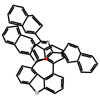 c1ccc2cc(-c3nc(-c4ccc5ccccc5c4)nc(-c4cccc5oc6cccc(-c7cccc8c7sc7cc9ccccc9cc78)c6c45)n3)ccc2c1